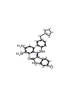 Nc1ccc(/C(Nc2ccc(CN3CCCC3)cc2)=C2\C(=O)Nc3cc(Cl)ccc32)cc1N